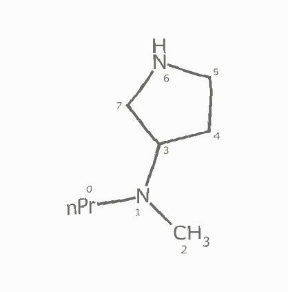 [CH2]CCN(C)C1CCNC1